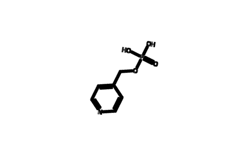 O=P(O)(O)OCc1ccncc1